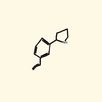 C=Cc1cccc(C2CCCN2)c1